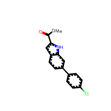 COC(=O)c1cc2ccc(-c3ccc(Cl)cc3)cc2[nH]1